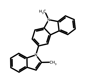 Cc1cc2ccccc2n1-c1ccc2c(c1)c1ccccc1n2C